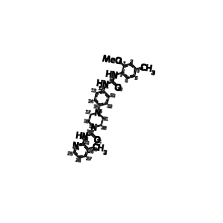 COc1cc(C)ccc1NC(=O)Nc1ccc(N2CCN(C(=O)Nc3ncccc3C)CC2)cc1